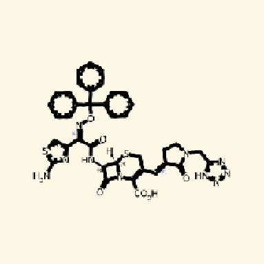 Nc1nc(/C(=N/OC(c2ccccc2)(c2ccccc2)c2ccccc2)C(=O)N[C@@H]2C(=O)N3C(C(=O)O)=C(/C=C4\CCN(Cc5nnn[nH]5)C4=O)CS[C@H]23)cs1